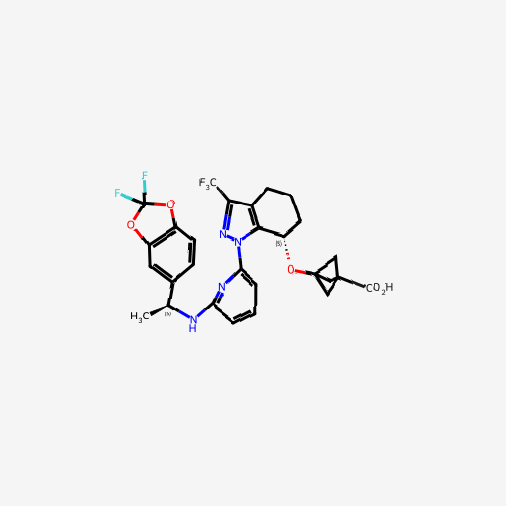 C[C@H](Nc1cccc(-n2nc(C(F)(F)F)c3c2[C@@H](OC24CC(C(=O)O)(C2)C4)CCC3)n1)c1ccc2c(c1)OC(F)(F)O2